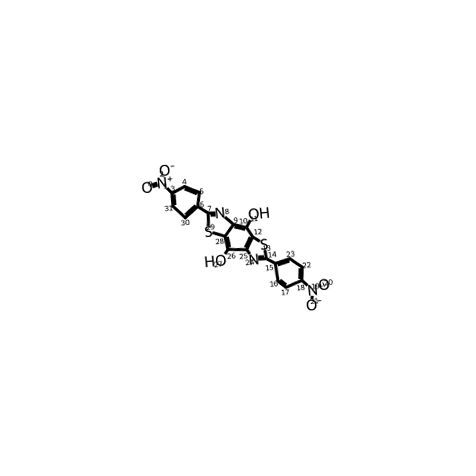 O=[N+]([O-])c1ccc(-c2nc3c(O)c4sc(-c5ccc([N+](=O)[O-])cc5)nc4c(O)c3s2)cc1